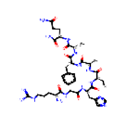 CC[C@@H](C)[C@@H](NC(=O)[C@@H](Cc1ccccc1)NC(=O)[C@H](NC(=O)[C@@H](CC(C)C)NC(=O)[C@@H](Cc1c[nH]cn1)NC(=O)CNC(=O)[C@H](N)CCCNC(=N)N)C(C)C)C(=O)N[C@H](CCC(N)=O)C(N)=O